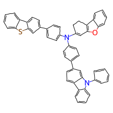 C1=C(N(c2ccc(-c3ccc4c(c3)sc3ccccc34)cc2)c2ccc(-c3ccc4c5ccccc5n(-c5ccccc5)c4c3)cc2)CCc2c1oc1ccccc21